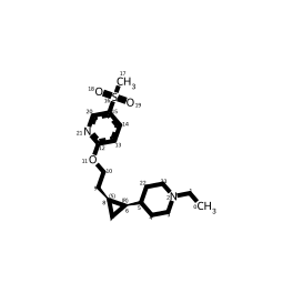 CCN1CCC([C@H]2C[C@H]2CCOc2ccc(S(C)(=O)=O)cn2)CC1